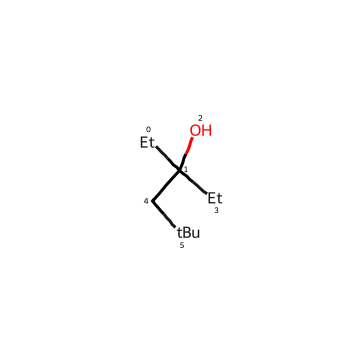 CCC(O)(CC)CC(C)(C)C